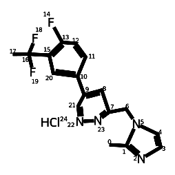 Cc1nccn1Cc1cc(-c2ccc(F)c(C(C)(F)F)c2)cnn1.Cl